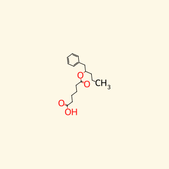 CCCC(Cc1ccccc1)OC(=O)CCCCC(=O)O